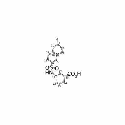 Cc1ccc2cc(S(=O)(=O)Nc3cccc(C(=O)O)c3)ccc2c1